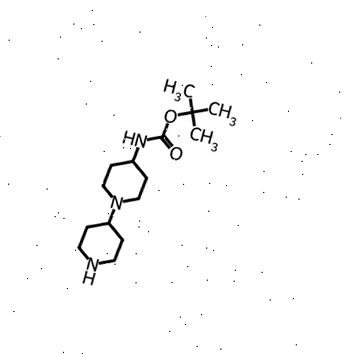 CC(C)(C)OC(=O)NC1CCN(C2CCNCC2)CC1